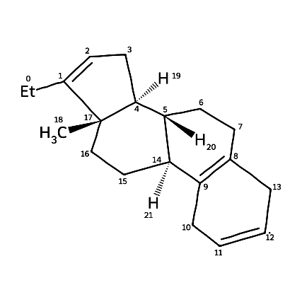 CCC1=CC[C@H]2[C@@H]3CCC4=C(CC=[C]C4)[C@H]3CC[C@]12C